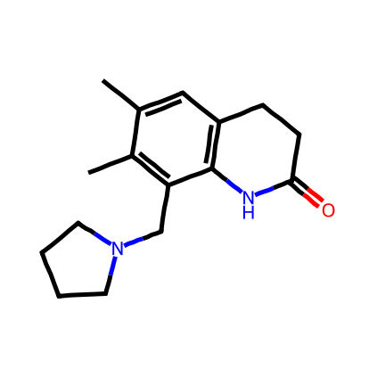 Cc1cc2c(c(CN3CCCC3)c1C)NC(=O)CC2